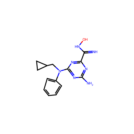 N=C(NO)c1nc(N)nc(N(CC2CC2)c2ccccc2)n1